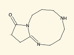 O=C1[CH]CC2=NCCCNCCCN12